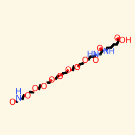 O=CNCCOCCOCCOCCOCCOCCOCCOCCOCCC(=O)NCC(=O)NCCCCC(=O)O